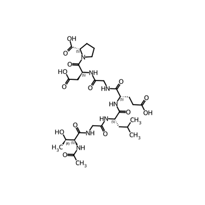 CC(=O)N[C@H](C(=O)NCC(=O)N[C@@H](CC(C)C)C(=O)N[C@@H](CCC(=O)O)C(=O)NCC(=O)N[C@@H](CC(=O)O)C(=O)N1CCC[C@H]1C(=O)O)[C@@H](C)O